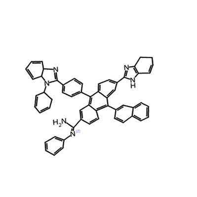 N/C(=N\c1ccccc1)c1ccc2c(-c3ccc4ccccc4c3)c3cc(-c4nc5c([nH]4)C=CCC5)ccc3c(-c3ccc(C4=NC5C=CC=CC5N4C4C=CC=CC4)cc3)c2c1